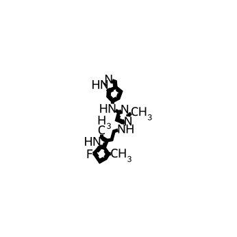 Cc1nc(NCCc2c(C)[nH]c3c(F)ccc(C)c23)cc(Nc2ccc3cn[nH]c3c2)n1